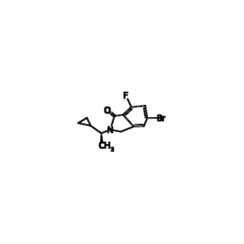 C[C@@H](C1CC1)N1Cc2cc(Br)cc(F)c2C1=O